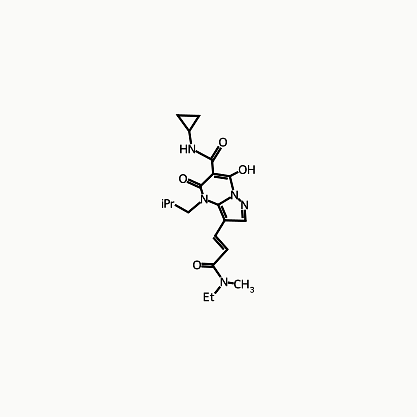 CCN(C)C(=O)C=Cc1cnn2c(O)c(C(=O)NC3CC3)c(=O)n(CC(C)C)c12